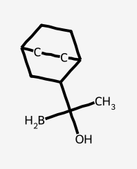 BC(C)(O)C1CC2CCC1CC2